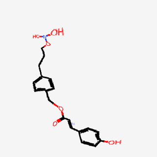 O=C(/C=C/c1ccc(O)cc1)OCc1ccc(CCCON(O)O)cc1